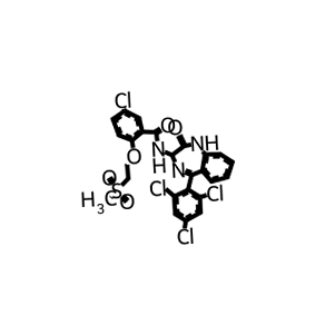 CS(=O)(=O)CCOc1ccc(Cl)cc1C(=O)NC1N=C(c2c(Cl)cc(Cl)cc2Cl)c2ccccc2NC1=O